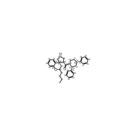 CCCCC1C[C@]2(CNC[C@H]2C(=O)N2CC[C@@H](c3ccccc3)C[C@H]2c2ccccc2)c2ccccc2O1